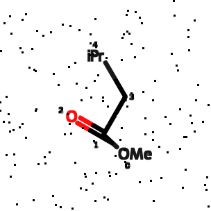 COC(=O)[CH]C(C)C